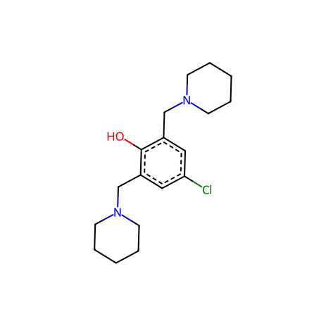 Oc1c(CN2CCCCC2)cc(Cl)cc1CN1CCCCC1